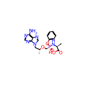 C[C@H](Cn1cnc2c(N)ncnc21)OC[P@](=O)(N[C@@H](C)C(=O)O)Oc1ccccc1